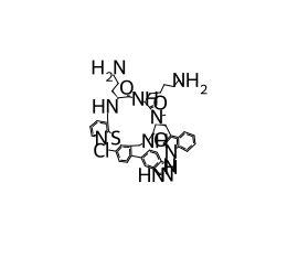 CN1C(=O)[C@H](CCCCN)NC(=O)[C@H](CCCN)NCc2cccnc2Sc2c(Cl)ccc(-c3ccc4nn[nH]c4c3)c2CNC(=O)[C@@H]1Cc1c[nH]c2ccccc12